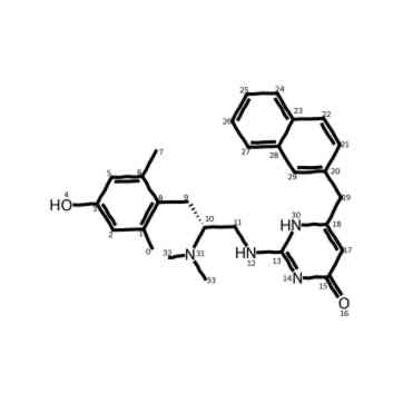 Cc1cc(O)cc(C)c1C[C@H](CNc1nc(=O)cc(Cc2ccc3ccccc3c2)[nH]1)N(C)C